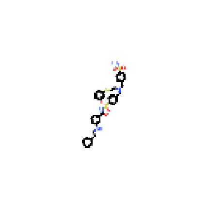 NS(=O)(=O)c1ccc(CN(CCSc2ccccc2)Cc2ccc(S(=O)(=O)NC(=O)c3cccc(NCCc4ccccc4)c3)cc2)cc1